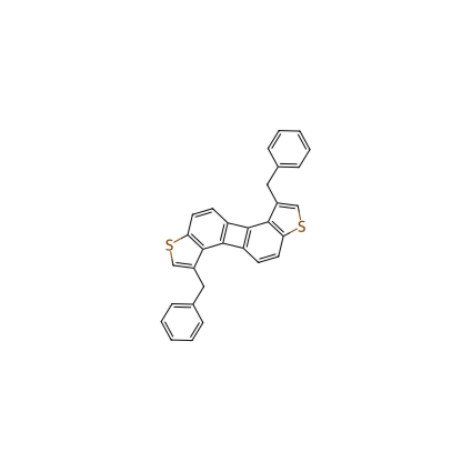 c1ccc(Cc2csc3ccc4c(c23)-c2ccc3scc(Cc5ccccc5)c3c2-4)cc1